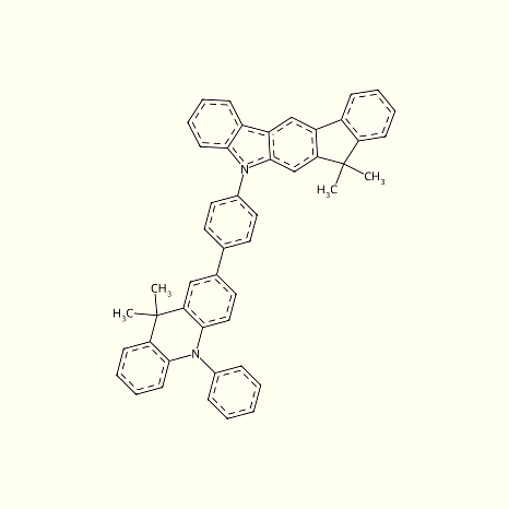 CC1(C)c2ccccc2-c2cc3c4ccccc4n(-c4ccc(-c5ccc6c(c5)C(C)(C)c5ccccc5N6c5ccccc5)cc4)c3cc21